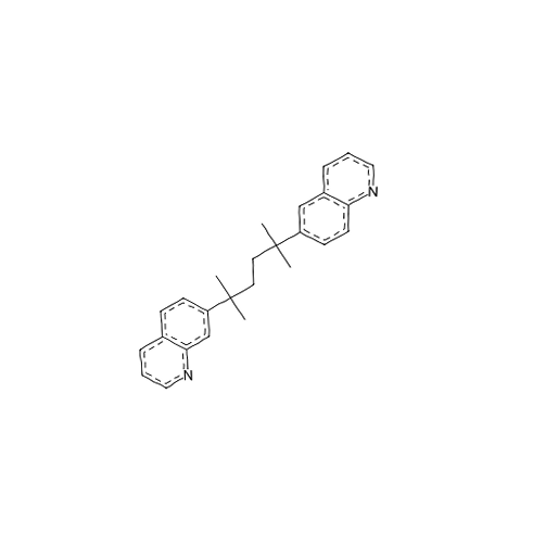 CC(C)(CCC(C)(C)c1ccc2cccnc2c1)c1ccc2ncccc2c1